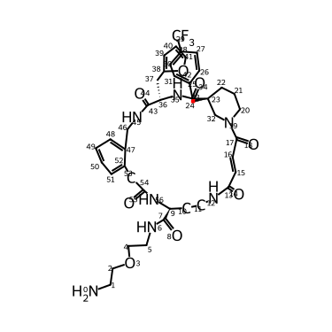 NCCOCCNC(=O)[C@@H]1CCNC(=O)/C=C/C(=O)N2CCC[C@](Cc3ccc(C(F)(F)F)cc3)(C2)C(=O)N[C@@H](Cc2ccco2)C(=O)NCc2ccccc2CC(=O)N1